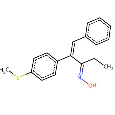 CCC(=N\O)/C(=C\c1ccccc1)c1ccc(SC)cc1